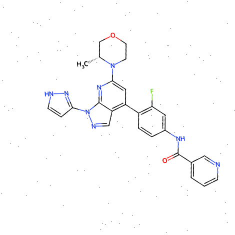 C[C@@H]1COCCN1c1cc(-c2ccc(NC(=O)c3cccnc3)cc2F)c2cnn(-c3cc[nH]n3)c2n1